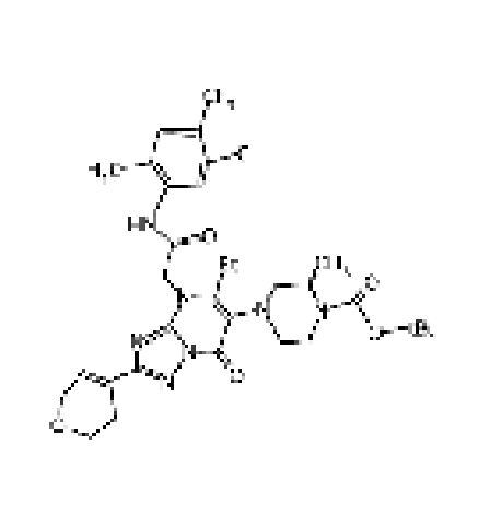 CCc1c(N2CCN(C(=O)OC(C)(C)C)[C@H](C)C2)c(=O)n2nc(C3=CCOCC3)nc2n1CC(=O)Nc1cc(Cl)c(C(F)(F)F)cc1C